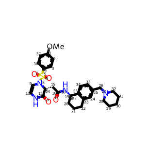 COc1ccc(S(=O)(=O)N2C=CNC(=O)[C@H]2CC(=O)N[C@@H]2CCCc3cc(CN4CCCCC4)ccc32)cc1